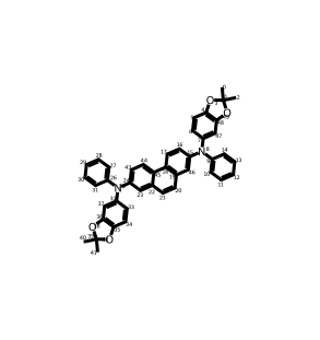 CC1(C)Oc2ccc(N(c3ccccc3)c3ccc4c(ccc5cc(N(c6ccccc6)c6ccc7c(c6)OC(C)(C)O7)ccc54)c3)cc2O1